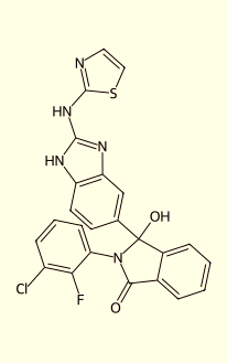 O=C1c2ccccc2C(O)(c2ccc3[nH]c(Nc4nccs4)nc3c2)N1c1cccc(Cl)c1F